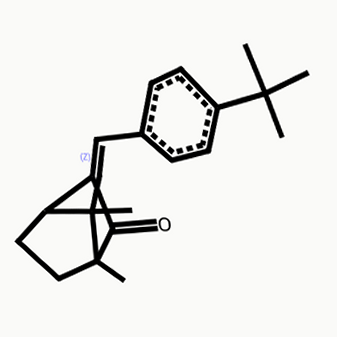 CC(C)(C)c1ccc(/C=C2\C(=O)C3(C)CCC2C3(C)C)cc1